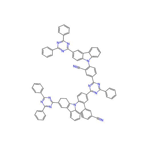 N#Cc1cc#cc(-c2cc(-c3nc(-c4ccccc4)nc(-c4ccc(-n5c6ccccc6c6cc(-c7nc(-c8ccccc8)nc(-c8ccccc8)n7)ccc65)c(C#N)c4)n3)ccc2-n2c3c(c4ccccc42)C=C(c2nc(-c4ccccc4)nc(-c4ccccc4)n2)CC3)c1